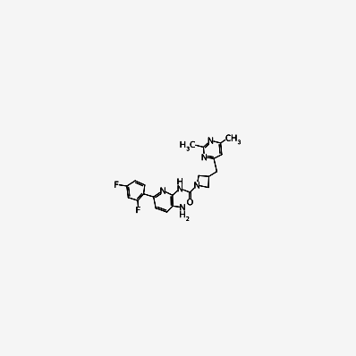 Cc1cc(CC2CN(C(=O)Nc3nc(-c4ccc(F)cc4F)ccc3N)C2)nc(C)n1